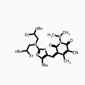 CCCCC(CC)CN(CC(CC)CCCC)c1nc(C(C)(C)C)c(/C=C2\C(=O)N(N(C)C)C(=O)C(C#N)=C2C)s1